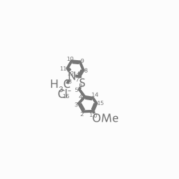 COc1ccc(CSc2cccc[n+]2C)cc1.[Cl-]